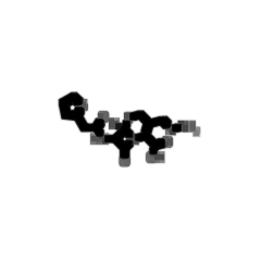 NN=CC1=C(C(=O)O)N2C(=O)C(NC(=O)Cc3cccs3)[C@@H]2SC1